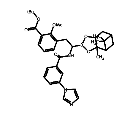 COc1c(CC(NC(=O)c2cccc(-n3ccnc3)c2)B2OC3CC4CC(C4(C)C)C3(C)O2)cccc1C(=O)OC(C)(C)C